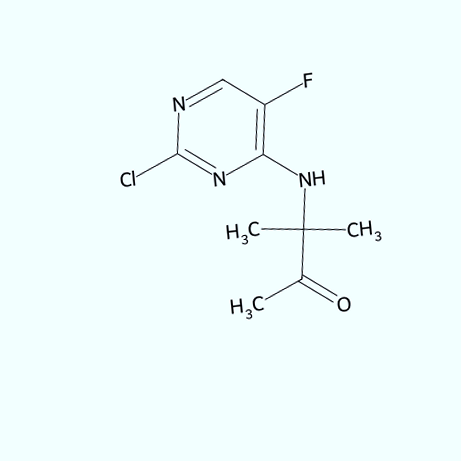 CC(=O)C(C)(C)Nc1nc(Cl)ncc1F